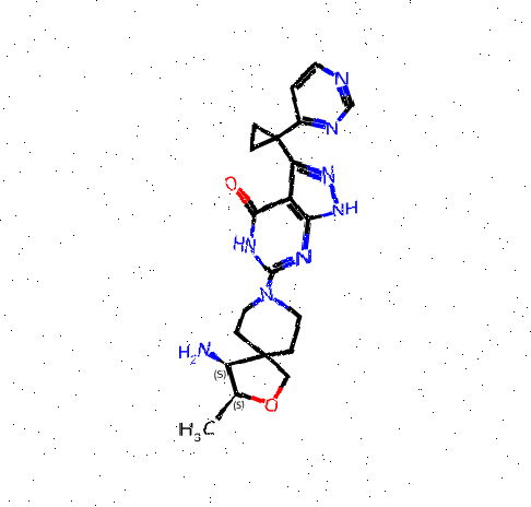 C[C@@H]1OCC2(CCN(c3nc4[nH]nc(C5(c6ccncn6)CC5)c4c(=O)[nH]3)CC2)[C@@H]1N